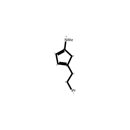 CNC1=CC=C(CCC(C)C)C1